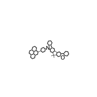 CC1(C)c2cc3oc4ccccc4c3cc2-c2cc3c4ccccc4n(-c4ccc(-c5cc6cccc7ccc8cccc5c8c76)cc4)c3cc21